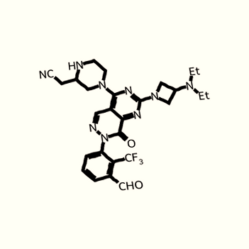 CCN(CC)C1CN(c2nc(N3CCNC(CC#N)C3)c3cnn(-c4cccc(C=O)c4C(F)(F)F)c(=O)c3n2)C1